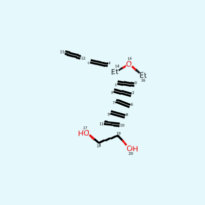 C=C.C=C.C=C.C=C.C=C.C=C.C=C.CCOCC.OCCO